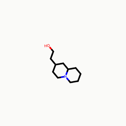 OCCC1CCN2CCCCC2C1